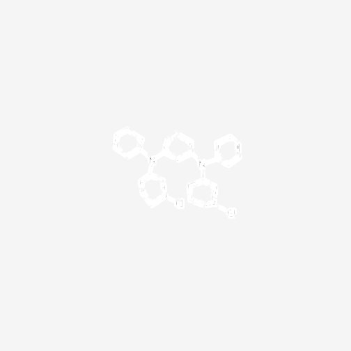 Clc1cccc(N(c2ccccc2)c2cccc(N(c3ccccc3)c3cccc(Cl)c3)c2)c1